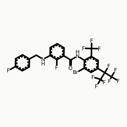 O=C(Nc1c(Br)cc(C(F)(C(F)(F)F)C(F)(F)F)cc1C(F)(F)F)c1cccc(NCc2ccc(F)cc2)c1F